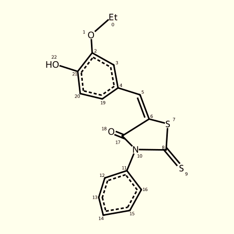 CCOc1cc(C=C2SC(=S)N(c3ccccc3)C2=O)ccc1O